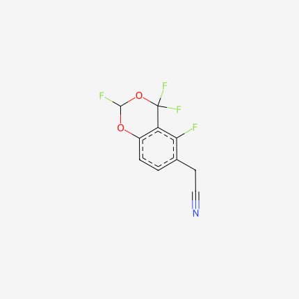 N#CCc1ccc2c(c1F)C(F)(F)OC(F)O2